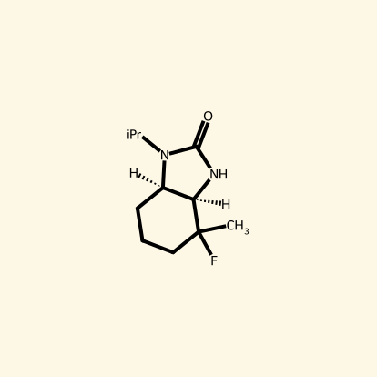 CC(C)N1C(=O)N[C@@H]2[C@H]1CCCC2(C)F